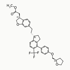 COC(=O)C[C@@H]1COc2cc(CC[C@@H]3CCc4c3ccc(C(F)(F)F)c4-c3ccc(OC[C@H]4CCCO4)cc3)ccc21